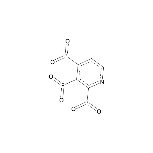 O=P(=O)c1ccnc(P(=O)=O)c1P(=O)=O